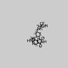 O=c1[nH]c(=O)n([C@H]2CC[C@H](CN3CC(O)(C(F)(F)F)C3)CC2)c2c1cnc1[nH]ccc12